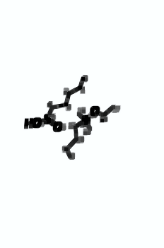 CCCCCS(=O)O.CCCC[Si](C)(C)OCC